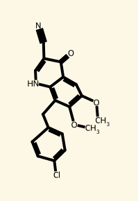 COc1cc2c(=O)c(C#N)c[nH]c2c(Cc2ccc(Cl)cc2)c1OC